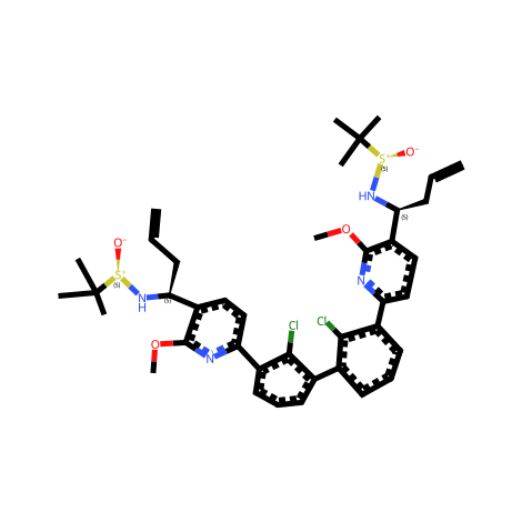 C=CC[C@H](N[S@+]([O-])C(C)(C)C)c1ccc(-c2cccc(-c3cccc(-c4ccc([C@H](CC=C)N[S@+]([O-])C(C)(C)C)c(OC)n4)c3Cl)c2Cl)nc1OC